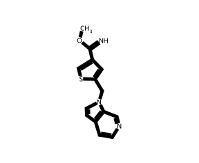 COC(=N)c1csc(Cn2ccc3ccncc32)c1